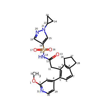 COc1cc(-c2ccc3c(c2CC(=O)NS(=O)(=O)c2cnn(C4CC4)c2)CCC3)ccn1